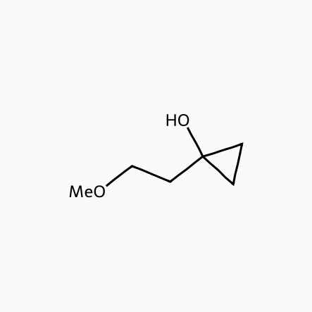 COCCC1(O)CC1